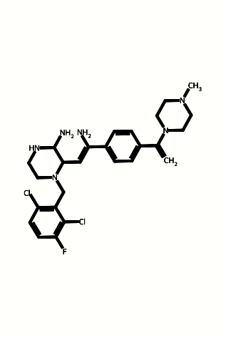 C=C(c1ccc(/C(N)=C/C2C(N)NCCN2Cc2c(Cl)ccc(F)c2Cl)cc1)N1CCN(C)CC1